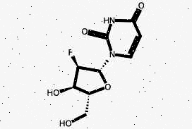 O=c1ccn([C@@H]2O[C@H](CO)[C@@H](O)[C@H]2F)c(=O)[nH]1